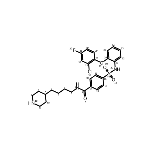 O=C(NCCCCC1CCNCC1)c1ccc(S(=O)(=O)Nc2ccccc2Oc2ccc(F)cc2Cl)cc1